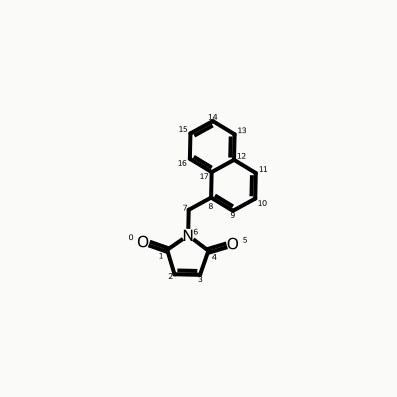 O=C1C=CC(=O)N1Cc1cccc2ccccc12